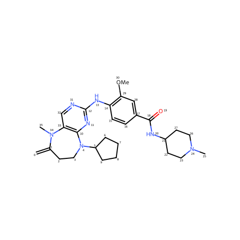 C=C1CCN(C2CCCC2)c2nc(Nc3ccc(C(=O)NC4CCN(C)CC4)cc3OC)ncc2N1C